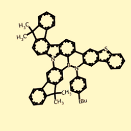 CC(C)(C)c1ccc(N2B3c4cc5c(cc4-n4c6ccc7c(c6c6ccc(c3c64)-c3cc4sc6ccccc6c4cc32)-c2ccccc2C7(C)C)-c2ccccc2C5(C)C)cc1